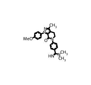 COc1ccc(-n2nc(C)c3c2C(=O)N(c2ccc(C(=N)N(C)C)cc2)CC3)cc1